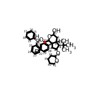 CC(C)(C)[C@@H]1[C@H]2CC(O)OC(CO[SiH](c3ccccc3)c3ccccc3)[C@@]2(c2ccc(F)cc2)C[C@H]1OC1CCCCO1